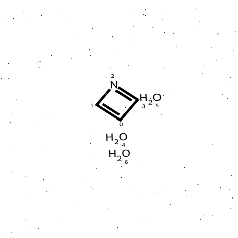 C1=CN=C1.O.O.O